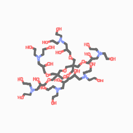 OCCN(CCO)CC(O)COCC(COCC(O)CN(CCO)CCO)(COCC(O)CN(CCO)CCO)COCC(COCC(O)CN(CCO)CCO)(COCC(O)CN(CCO)CCO)COCC(O)CN(CCO)CCO